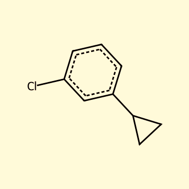 Clc1cccc(C2CC2)c1